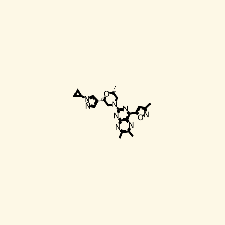 Cc1cc(-c2nc(N3C[C@@H](C)O[C@@H](c4cnn(C5CC5)c4)C3)nc3nc(C)c(C)nc23)on1